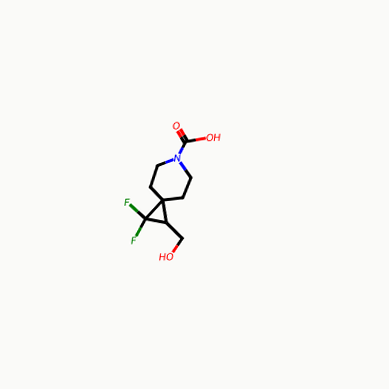 O=C(O)N1CCC2(CC1)C(CO)C2(F)F